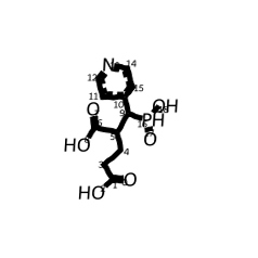 O=C(O)CCC(C(=O)O)C(c1ccncc1)[PH](=O)O